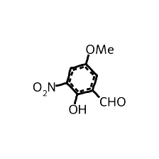 COc1cc(C=O)c(O)c([N+](=O)[O-])c1